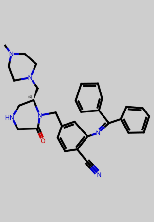 CN1CCN(C[C@@H]2CNCC(=O)N2Cc2ccc(C#N)c(N=C(c3ccccc3)c3ccccc3)c2)CC1